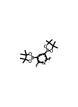 CC1(C)OB(c2cc(B3OC(C)(C)C(C)(C)O3)c(F)nc2F)OC1(C)C